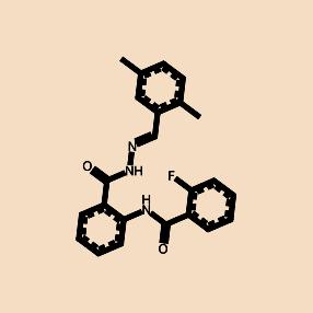 Cc1ccc(C)c(C=NNC(=O)c2ccccc2NC(=O)c2ccccc2F)c1